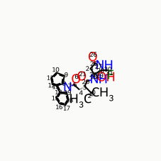 CC(C)[C@H](CC(=O)n1c2ccccc2c2ccccc21)C(=O)NC1CC(=O)NC1(O)CF